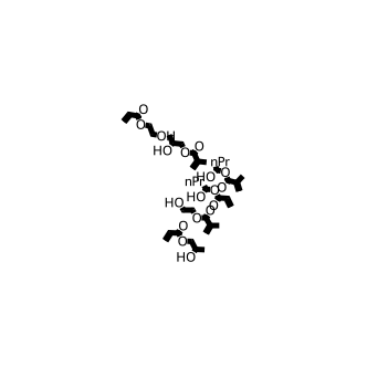 C=C(C)C(=O)OC(O)CCC.C=C(C)C(=O)OCC(C)O.C=C(C)C(=O)OCCO.C=CC(=O)OC(O)CCC.C=CC(=O)OCC(C)O.C=CC(=O)OCCO